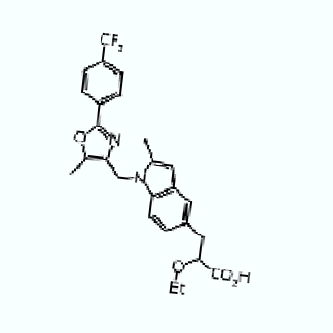 CCOC(Cc1ccc2c(c1)cc(C)n2Cc1nc(-c2ccc(C(F)(F)F)cc2)oc1C)C(=O)O